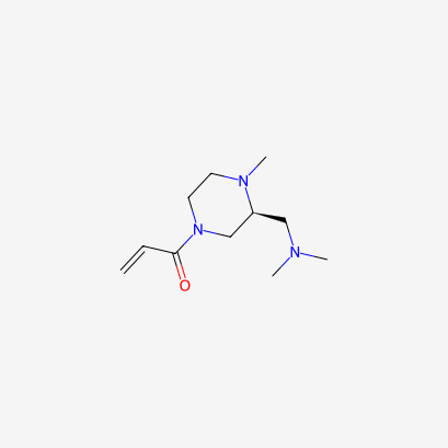 C=CC(=O)N1CCN(C)[C@@H](CN(C)C)C1